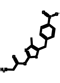 Cc1nc(OC(=O)CN)sc1Cc1ccc([N+](=O)[O-])cc1